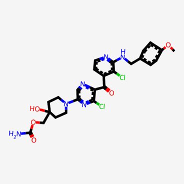 COc1ccc(CNc2nccc(C(=O)c3ncc(N4CCC(O)(COC(N)=O)CC4)nc3Cl)c2Cl)cc1